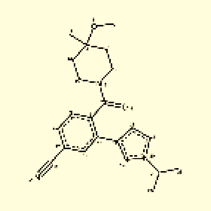 COC1(C)CCN(C(=O)c2ccc(C#N)cc2-c2ccn(C(C)C)n2)CC1